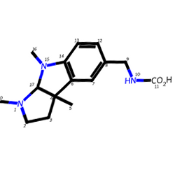 CN1CCC2(C)c3cc(CNC(=O)O)ccc3N(C)C12